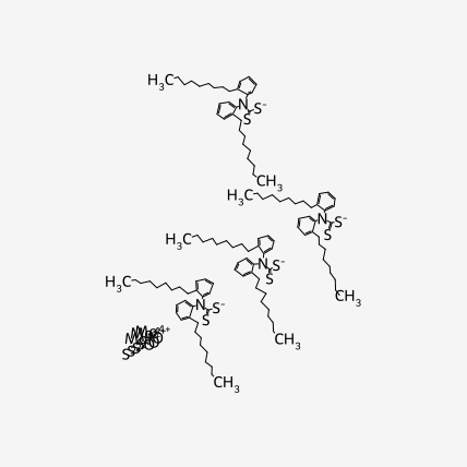 CCCCCCCCCc1ccccc1N(C(=S)[S-])c1ccccc1CCCCCCCCC.CCCCCCCCCc1ccccc1N(C(=S)[S-])c1ccccc1CCCCCCCCC.CCCCCCCCCc1ccccc1N(C(=S)[S-])c1ccccc1CCCCCCCCC.CCCCCCCCCc1ccccc1N(C(=S)[S-])c1ccccc1CCCCCCCCC.[O]=[Mo+4].[O]=[Mo+4].[O]=[Mo+4].[S-2].[S-2].[S-2].[S-2]